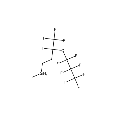 C[SiH2]CCC(F)(OC(F)(F)C(F)(F)C(F)(F)F)C(F)(F)F